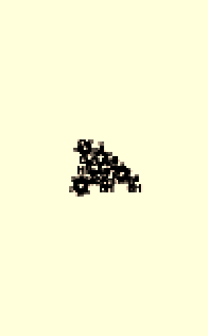 CB(O)c1ccc(S(=O)(=O)N(CC(C)C)C[C@@H](OP(=O)(O)O)[C@H](Cc2ccccc2)NC(=O)O[C@H]2CCOC2)nc1